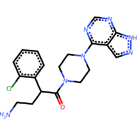 NCCC(C(=O)N1CCN(c2ncnc3[nH]ncc23)CC1)c1ccccc1Cl